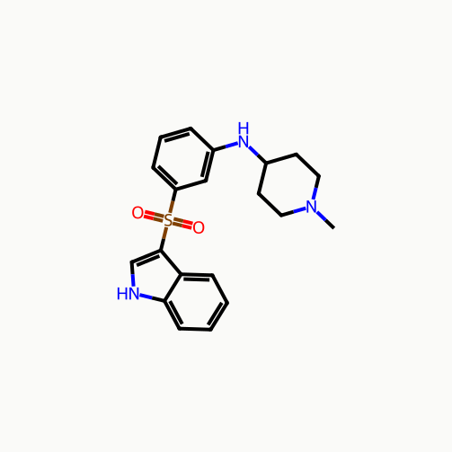 CN1CCC(Nc2cccc(S(=O)(=O)c3c[nH]c4ccccc34)c2)CC1